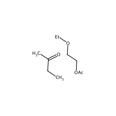 CCC(C)=O.CCOCCOC(C)=O